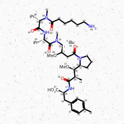 CC[C@H](C)[C@@H](C(CC(=O)N1CCC[C@H]1[C@H](OC)[C@@H](C)C(=O)N[C@@H](Cc1ccc(C)cc1)C(=O)O)OC)N(C)C(=O)[C@@H](NC(=O)[C@H](C(C)C)N(C)C(=O)CCCCCN)C(C)C